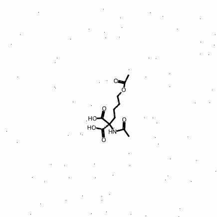 CC(=O)NC(CCCCOC(C)=O)(C(=O)O)C(=O)O